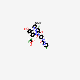 CNC1CCN(Cc2cc(O)ccc2-c2cccc(-n3c(=O)n([C@H]4CC[C@@H](NC(=O)c5cn6cc(F)ccc6n5)CC4)c(=O)c4cc(F)cnc43)c2)CC1.O=C(O)C(F)(F)F